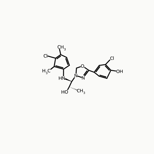 Cc1ccc(N[C@H]([C@H](C)O)N2COC(c3ccc(O)c(Cl)c3)=N2)c(C)c1Cl